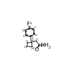 NC(=O)CC1(c2ccc(F)cc2)CCC1